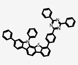 c1ccc(-c2ccc3c4ccc5c6cccc(-c7ccc(-c8nc(-c9ccccc9)nc(-c9ccccc9)n8)cc7)c6sc5c4n(-c4ccccc4)c3c2)cc1